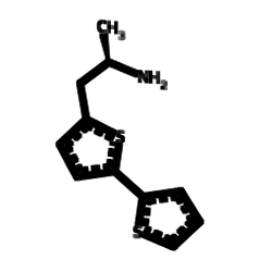 C[C@@H](N)Cc1ccc(-c2cccs2)s1